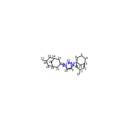 CC1C=C2CCCC(n3cc[n+](C4CC5CC(C)CC(C5)C4)c3)(C2)C1